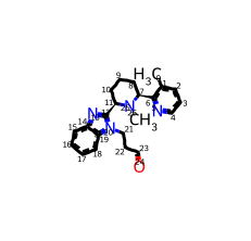 Cc1cccnc1[C@@H]1CCC[C@H](c2nc3ccccc3n2CCC=O)N1C